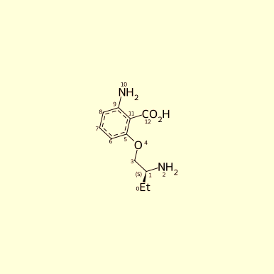 CC[C@H](N)COc1cccc(N)c1C(=O)O